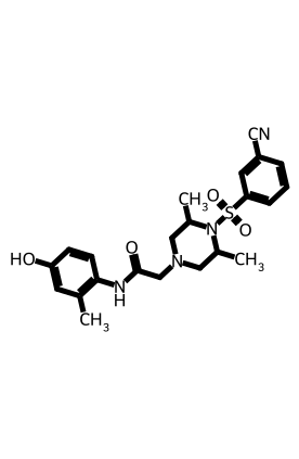 Cc1cc(O)ccc1NC(=O)CN1CC(C)N(S(=O)(=O)c2cccc(C#N)c2)C(C)C1